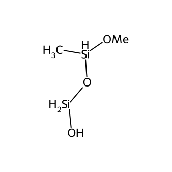 CO[SiH](C)O[SiH2]O